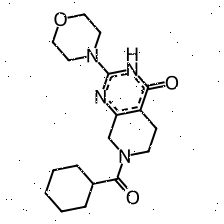 O=C(C1CCCCC1)N1CCc2c(nc(N3CCOCC3)[nH]c2=O)C1